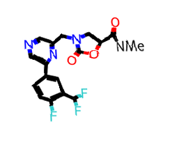 CNC(=O)C1CN(Cc2cncc(-c3ccc(F)c(C(F)F)c3)n2)C(=O)O1